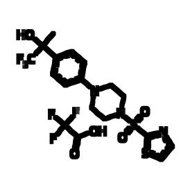 CC(O)(c1ccc(N2CCN(S(=O)(=O)c3nccs3)CC2)cc1)C(F)(F)F.O=C(O)C(F)(F)F